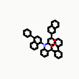 c1ccc(-c2ccc(N(c3cccc(-c4ccc5ccccc5c4)c3)c3ccccc3-c3cc4ccccc4c4ccccc34)c3ccccc23)cc1